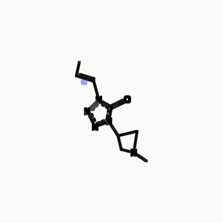 C/C=C/n1nnn(C2CN(C)C2)c1=O